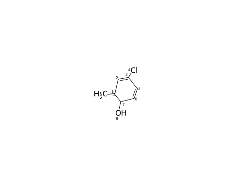 C=C1C=C(Cl)C=CC1O